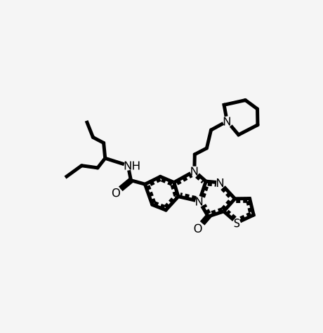 CCCC(CCC)NC(=O)c1ccc2c(c1)n(CCCN1CCCCC1)c1nc3ccsc3c(=O)n21